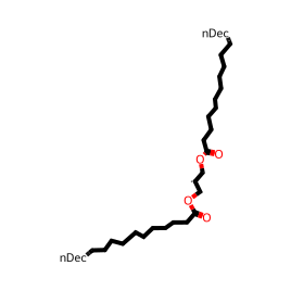 CCCCCCCCCCCCCCCCCCCCC(=O)OC[CH]COC(=O)CCCCCCCCCCCCCCCCCCCC